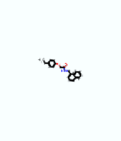 CCc1ccc(OCC(=O)NCc2cccc3ccccc23)cc1